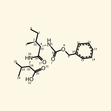 CC[C@H](C)[C@H](NC(=O)OCc1ccccc1)C(=O)N[C@H](C(=O)O)C(C)C